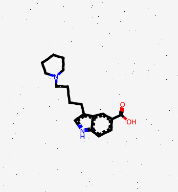 O=C(O)c1ccc2[nH]cc(CCCCN3CC[CH]CC3)c2c1